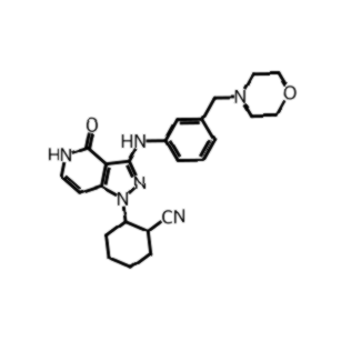 N#CC1CCCCC1n1nc(Nc2cccc(CN3CCOCC3)c2)c2c(=O)[nH]ccc21